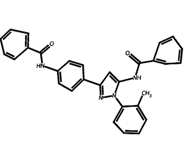 Cc1ccccc1-n1nc(-c2ccc(NC(=O)c3ccccc3)cc2)cc1NC(=O)c1ccccc1